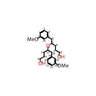 COc1cccc(CC(CCCO)OC(CCCO)Cc2cccc(OC)c2)c1